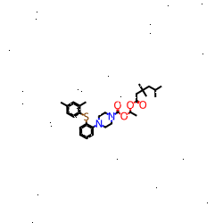 Cc1ccc(Sc2ccccc2N2CCN(C(=O)OC(C)OC(=O)CC(C)(C)CC(C)C)CC2)c(C)c1